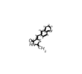 C=c1[nH]c(=O)/c(=C/c2ccc3ncccc3c2)s1